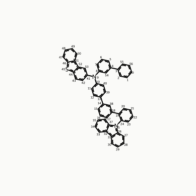 c1ccc(-c2cccc(N(c3ccc(-c4cccc(-c5ccccc5-n5c6ccccc6c6ccccc65)c4)cc3)c3ccc4sc5ccccc5c4c3)c2)cc1